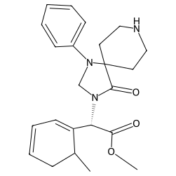 COC(=O)[C@H](C1=CC=CCC1C)N1CN(c2ccccc2)C2(CCNCC2)C1=O